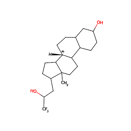 CC12CCC3C4CCC(O)CC4CC[C@H]3C1CCC2CC(O)C(F)(F)F